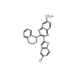 O=C(O)c1ccc2nc(-c3cc4cc(Cl)ccc4o3)c(N3CCCc4ccccc43)nc2c1